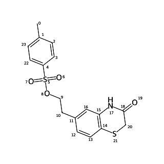 Cc1ccc(S(=O)(=O)OCCc2ccc3c(c2)NC(=O)CS3)cc1